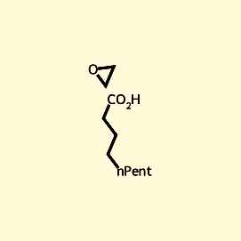 C1CO1.CCCCCCCCC(=O)O